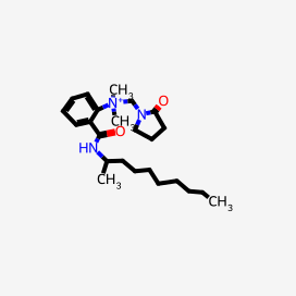 CCCCCCCCC(C)NC(=O)c1ccccc1[N+](C)(C)CN1CCCC1=O